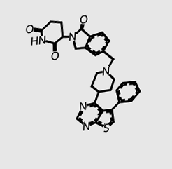 O=C1CCC(N2Cc3cc(CN4CCC(c5ncnc6scc(-c7ccccc7)c56)CC4)ccc3C2=O)C(=O)N1